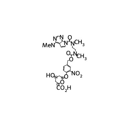 CNc1ncnc2c1ccn2C(=O)N(C)CCN(C)C(=O)OCc1ccc(O[C@H]2C[C@@H](O)C[C@@H](C(=O)O)O2)c([N+](=O)[O-])c1